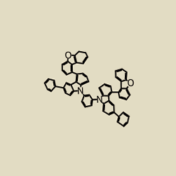 C1=Cc2c(oc3cccc(-c4cccc5c4c4cc(-c6ccccc6)ccc4n5-c4cccc(-n5c6ccc(-c7ccccc7)cc6c6c(-c7cccc8oc9ccccc9c78)cccc65)c4)c23)CC1